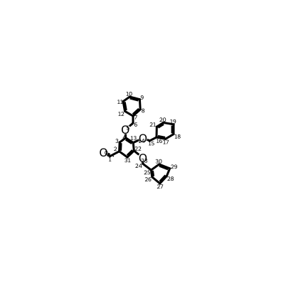 O=[C]c1cc(OCc2ccccc2)c(OCc2ccccc2)c(OCc2ccccc2)c1